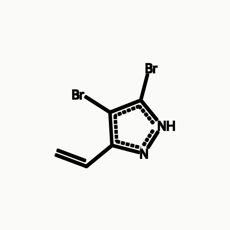 C=Cc1n[nH]c(Br)c1Br